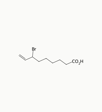 C=CC(Br)CCCCCC(=O)O